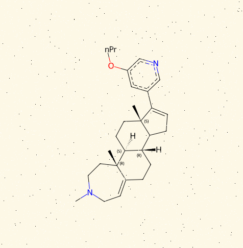 CCCOc1cncc(C2=CCC3[C@@H]4CCC5=CCN(C)CC[C@]5(C)[C@H]4CC[C@]23C)c1